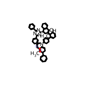 C/C=C\C=C/CN(C1=CCC(C2=CC=CC=CC2)C=C1)C1=CC=C(C2=CC=C[C@@H]3OC4=C(C[C@@H](c5nc(C6=CCCC=C6)nc(-c6ccccc6)n5)C5=C4C=CCC5)C23C)CC1